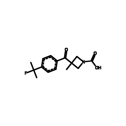 CC1(C(=O)c2ccc(C(C)(C)F)cc2)CN(C(=O)O)C1